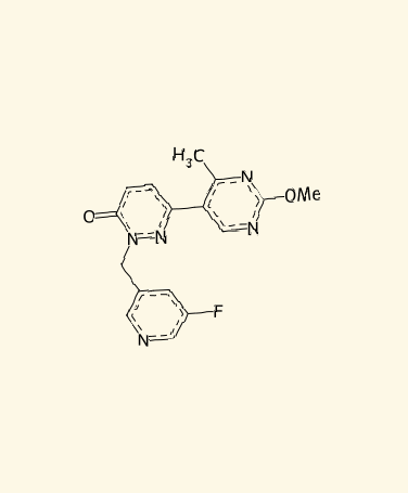 COc1ncc(-c2ccc(=O)n(Cc3cncc(F)c3)n2)c(C)n1